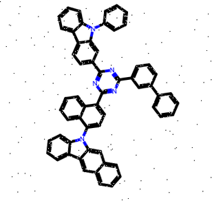 c1ccc(-c2cccc(-c3nc(-c4ccc5c6ccccc6n(-c6ccccc6)c5c4)nc(-c4ccc(-n5c6ccccc6c6cc7ccccc7cc65)c5ccccc45)n3)c2)cc1